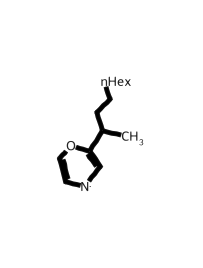 CCCCCCCCC(C)C1=C[N]C=CO1